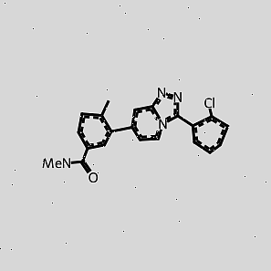 CNC(=O)c1ccc(C)c(-c2ccn3c(-c4ccccc4Cl)nnc3c2)c1